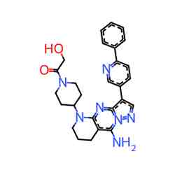 Nc1c2c(nc3c(-c4ccc(-c5ccccc5)nc4)cnn13)N(C1CCN(C(=O)CO)CC1)CCC2